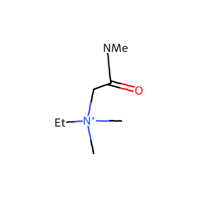 CC[N+](C)(C)CC(=O)NC